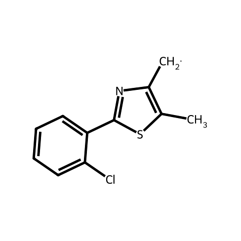 [CH2]c1nc(-c2ccccc2Cl)sc1C